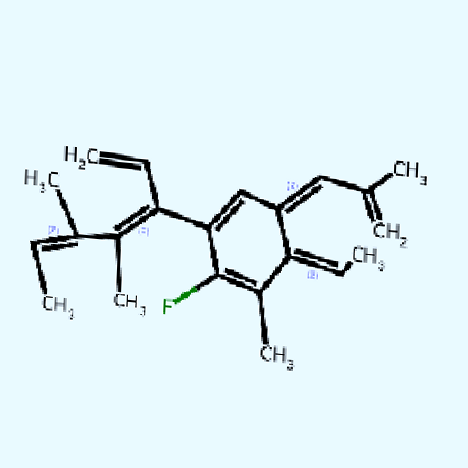 C=C/C(=C(C)\C(C)=C/C)c1cc(=C/C(=C)C)/c(=C\C)c(C)c1F